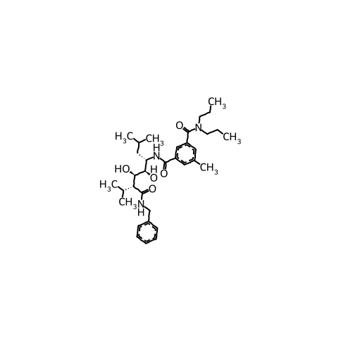 CCCN(CCC)C(=O)c1cc(C)cc(C(=O)N[C@@H](CC(C)C)[C@@H](O)[C@H](O)[C@H](C(=O)NCc2ccccc2)C(C)C)c1